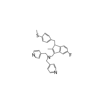 CSc1ccc(CC2C(C)=C(CN(Cc3ccncc3)Cc3ccncc3)c3cc(F)ccc32)cc1